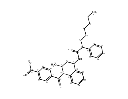 CCCCCCC(C(=O)NC1CC(C)N(C(=O)c2ccc([N+](=O)[O-])cc2)c2ccccc21)c1ccccc1